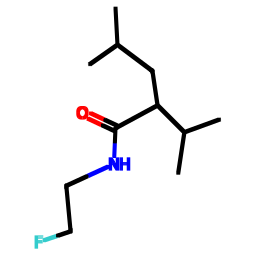 CC(C)CC(C(=O)NCCF)C(C)C